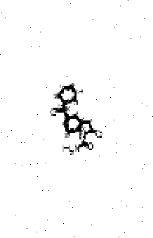 NC(=O)N1C(=O)Cc2cc(C(=O)c3ccccc3)ccc21